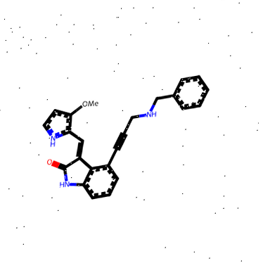 COc1cc[nH]c1/C=C1\C(=O)Nc2cccc(C#CCNCc3ccccc3)c21